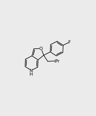 CC(C)CC1(c2ccc(F)cc2)OC=C2C=CNC=C21